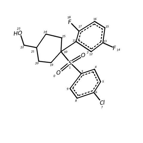 O=S(=O)(c1ccc(Cl)cc1)C1(c2cc(F)ccc2F)CCC(CO)CC1